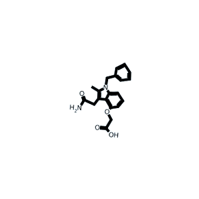 Cc1c(CC(N)=O)c2c(OCC(=O)O)cccc2n1Cc1ccccc1